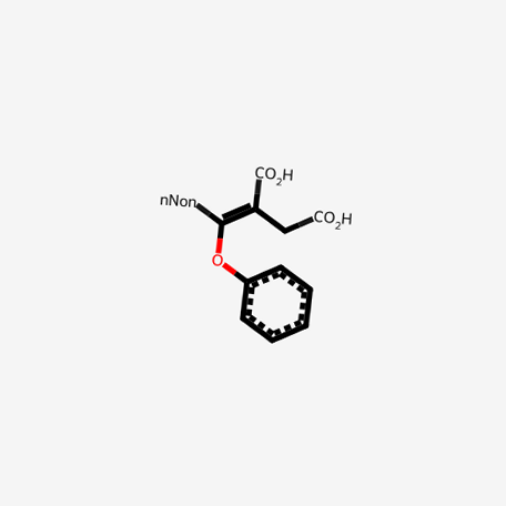 CCCCCCCCCC(Oc1ccccc1)=C(CC(=O)O)C(=O)O